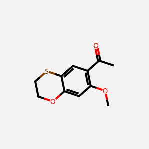 COc1cc2c(cc1C(C)=O)SCCO2